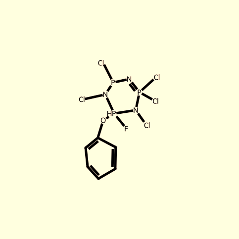 F[PH]1(Oc2ccccc2)N(Cl)P(Cl)N=P(Cl)(Cl)N1Cl